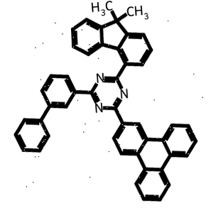 CC1(C)c2ccccc2-c2c(-c3nc(-c4cccc(-c5ccccc5)c4)nc(-c4ccc5c6ccccc6c6ccccc6c5c4)n3)cccc21